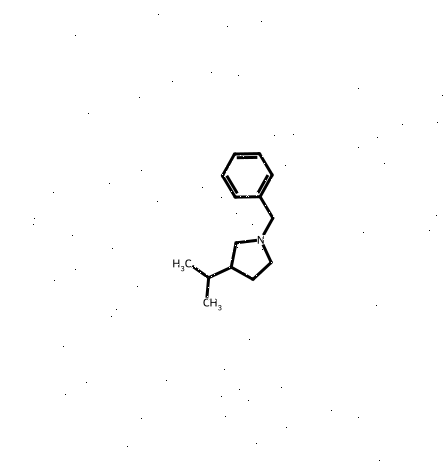 CC(C)C1CCN(Cc2ccccc2)C1